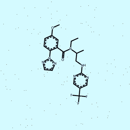 CCN(C(=O)c1cc(OC)ccc1-n1nccn1)C(C)CNc1ncc(C(F)(F)F)cn1